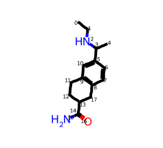 CCNC(C)c1ccc2c(c1)CCC(C(N)=O)C2